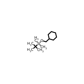 CC(C)(C)[Si](C)(C)OCC1CCCCC1